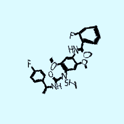 COc1cc(N(S)C(=O)NC(C)c2ccc(F)cc2)c(OC)cc1NC(=O)c1ccccc1F